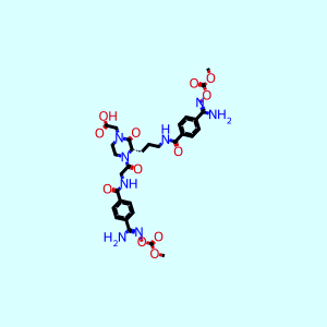 COC(=O)ON=C(N)c1ccc(C(=O)NCCC[C@H]2C(=O)N(CC(=O)O)CCN2C(=O)CNC(=O)c2ccc(C(N)=NOC(=O)OC)cc2)cc1